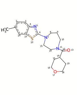 Cc1ccc2nc(N3CCCN(C(=O)C4CCOCC4)CC3)sc2c1